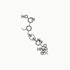 CCc1cc(-c2cncc(O)c2)ccc1CN1CCN(c2ccc(C(=O)NS(=O)(=O)C(C)(C)C)nn2)CC1